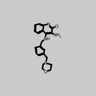 Nc1c(Cl)nc2ccccc2c1NCc1cccc(CN2CCOCC2)c1